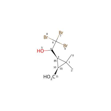 CC1(C)[C@H](C(O)C(Br)(Br)Br)[C@@H]1C(=O)O